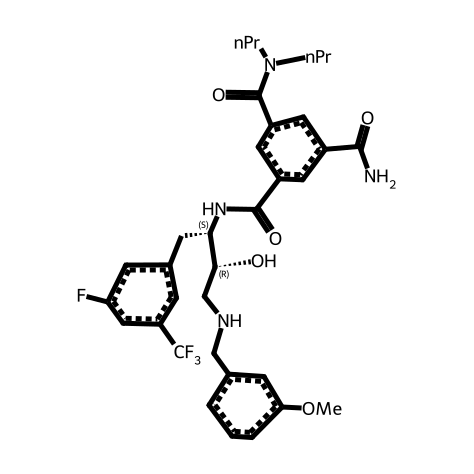 CCCN(CCC)C(=O)c1cc(C(N)=O)cc(C(=O)N[C@@H](Cc2cc(F)cc(C(F)(F)F)c2)[C@H](O)CNCc2cccc(OC)c2)c1